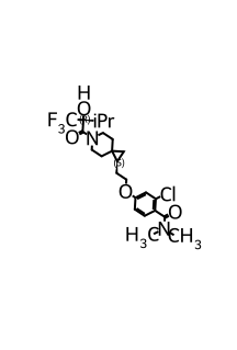 CC(C)[C@@](O)(C(=O)N1CCC2(CC1)C[C@H]2CCOc1ccc(C(=O)N(C)C)c(Cl)c1)C(F)(F)F